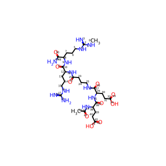 CNC(=N)NCCCC(NC(=O)C(CCCNC(=N)N)NC(=O)CCCNC(=O)C(CCC(=O)O)NC(=O)C(CCC(=O)O)NC(C)=O)C(N)=O